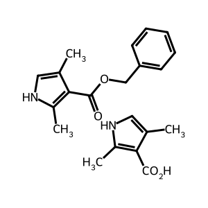 Cc1c[nH]c(C)c1C(=O)O.Cc1c[nH]c(C)c1C(=O)OCc1ccccc1